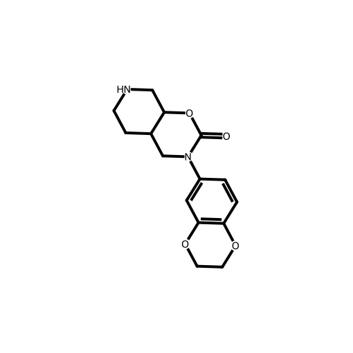 O=C1OC2CNCCC2CN1c1ccc2c(c1)OCCO2